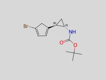 CC(C)(C)OC(=O)N[C@H]1C[C@@H]1C1=CC=C(Br)C1